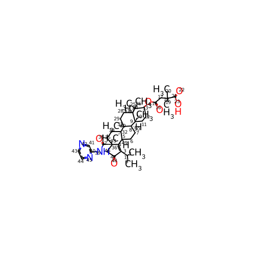 CC(C)C1=C2[C@H]3CC[C@@H]4[C@@]5(C)CC[C@H](OC(=O)CC(C)(C)C(=O)O)C(C)(C)[C@@H]5CC[C@@]4(C)[C@]3(C)CC[C@@]2(C(=O)Nc2cnccn2)CC1=O